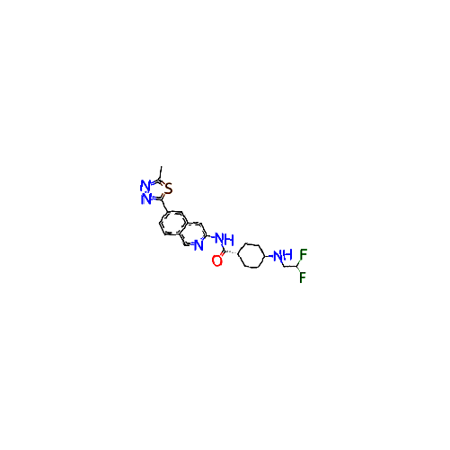 Cc1nnc(-c2ccc3cnc(NC(=O)[C@H]4CC[C@H](NCC(F)F)CC4)cc3c2)s1